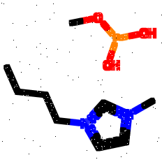 CCCC[n+]1ccn(C)c1.COP(O)O